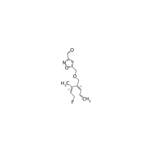 C=C/C=C(COCc1cc(C=O)no1)\C(C)=C/CF